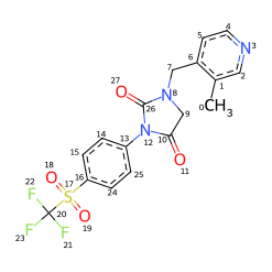 Cc1cnccc1CN1CC(=O)N(c2ccc(S(=O)(=O)C(F)(F)F)cc2)C1=O